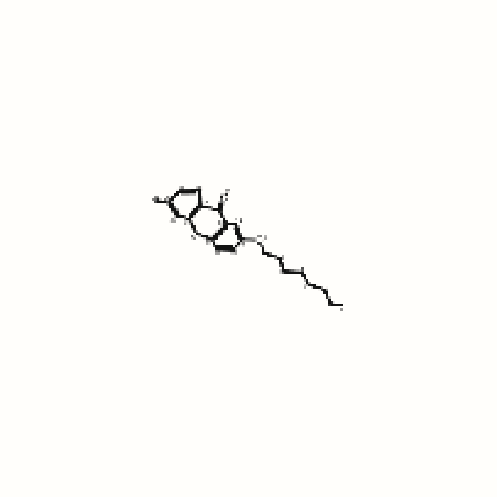 CCCCCCCCOc1ccc2c(c1)C(=O)c1ccc(C)cc1C2